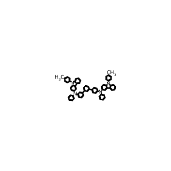 Cc1ccc(-n2c3ccccc3c3cc(N(c4ccccc4)c4ccc(-c5cccc(-c6cccc(N(c7ccccc7)c7ccc8c(c7)c7ccccc7n8-c7ccc(C)cc7)c6)c5)cc4)ccc32)cc1